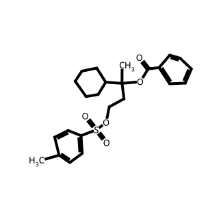 Cc1ccc(S(=O)(=O)OCCC(C)(OC(=O)c2ccccc2)C2CCCCC2)cc1